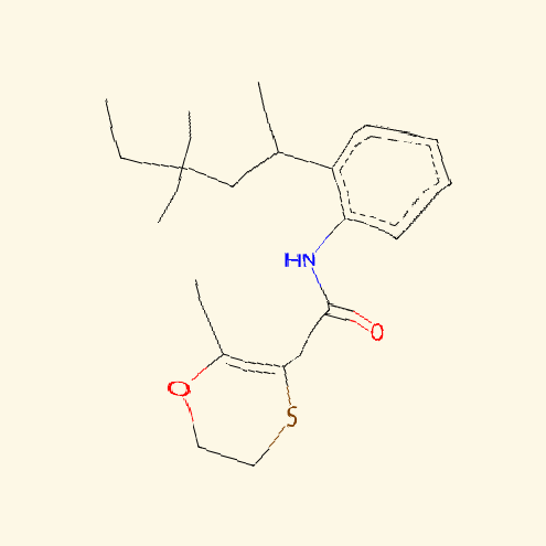 CCC(C)(C)CC(C)c1ccccc1NC(=O)C1=C(C)OCCS1